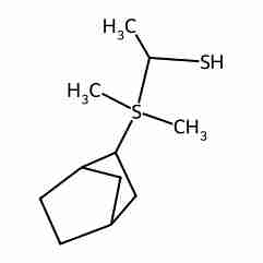 CC(S)S(C)(C)C1CC2CCC1C2